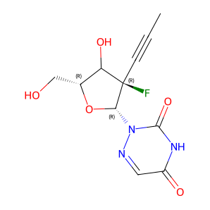 CC#C[C@@]1(F)C(O)[C@@H](CO)O[C@H]1n1ncc(=O)[nH]c1=O